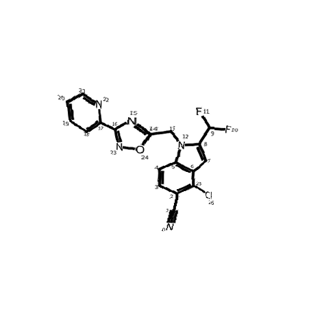 N#Cc1ccc2c(cc(C(F)F)n2Cc2nc(-c3ccccn3)no2)c1Cl